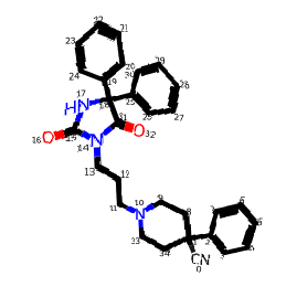 N#CC1(c2ccccc2)CCN(CCCN2C(=O)NC(c3ccccc3)(c3ccccc3)C2=O)CC1